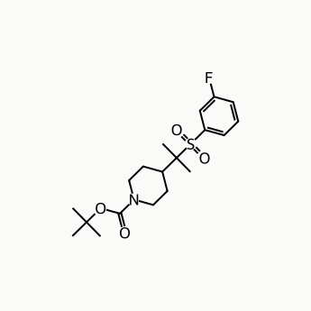 CC(C)(C)OC(=O)N1CCC(C(C)(C)S(=O)(=O)c2cccc(F)c2)CC1